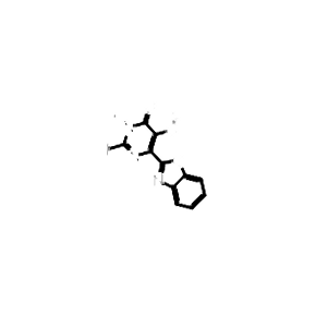 COc1c(-c2nc3ccccc3o2)nc(Cl)n(C)c1=O